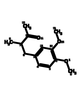 COc1ccc(CC(C)C(C)=O)cc1OC